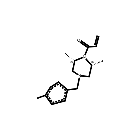 C=CC(=O)N1[C@H](C)CN(Cc2ccc(C)cc2)C[C@@H]1C